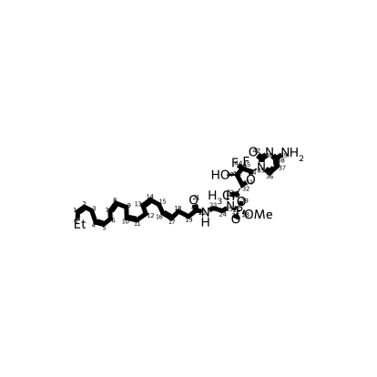 CC/C=C\C/C=C\C/C=C\C/C=C\C/C=C\C/C=C\CCC(=O)NCCNP(=O)(OC)OC(C)[C@H]1O[C@@H](n2ccc(N)nc2=O)C(F)(F)[C@@H]1O